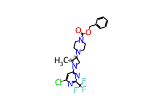 C[C@@H]1[C@H](N2CCN(C(=O)OCc3ccccc3)CC2)CN1c1cc(Cl)nc(C(F)(F)F)n1